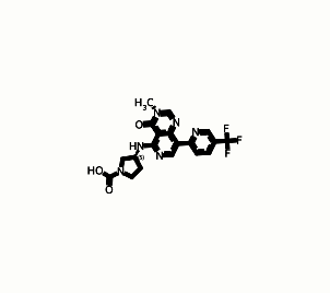 Cn1cnc2c(-c3ccc(C(F)(F)F)cn3)cnc(N[C@H]3CCN(C(=O)O)C3)c2c1=O